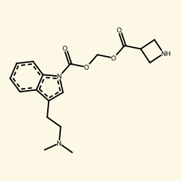 CN(C)CCc1cn(C(=O)OCOC(=O)C2CNC2)c2ccccc12